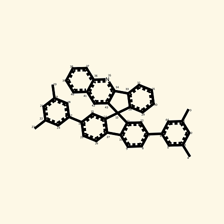 Cc1cc(C)cc(-c2ccc3c(c2)C2(c4cc(-c5cc(C)cc(C)c5)ccc4-3)c3ccccc3-c3nc4ccccc4cc32)c1